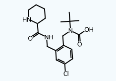 CC(C)(C)N(Cc1ccc(Cl)cc1CNC(=O)C1CCCCN1)C(=O)O